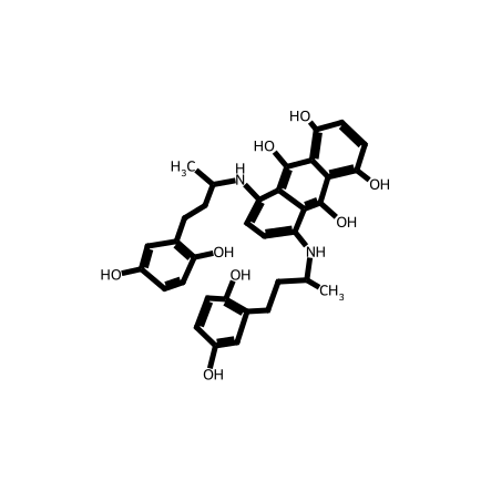 CC(CCc1cc(O)ccc1O)Nc1ccc(NC(C)CCc2cc(O)ccc2O)c2c(O)c3c(O)ccc(O)c3c(O)c12